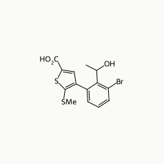 CSc1sc(C(=O)O)cc1-c1cccc(Br)c1C(C)O